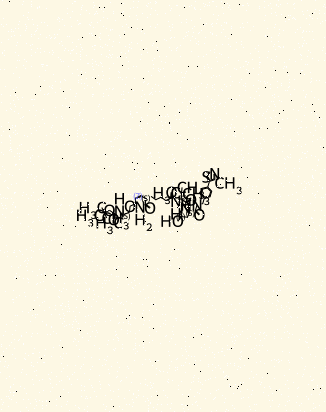 CC[C@@H](COC/C=C\[C@H](CCCCC(=O)N[C@H](C(=O)N1C[C@H](O)C[C@H]1C(=O)NCc1ccc(-c2scnc2C)cc1)C(C)(C)C)C(N)=O)NC(=O)OC(C)(C)C